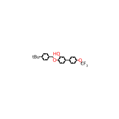 CC(C)(C)c1ccc(COc2ccc(-c3ccc(OC(F)(F)F)cc3)cc2O)cc1